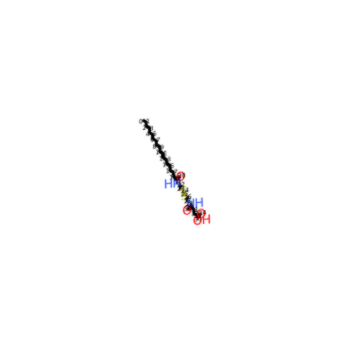 CCC=CCC=CCC=CCC=CCC=CCCCC(=O)NCCSSCCNC(=O)CCC(=O)O